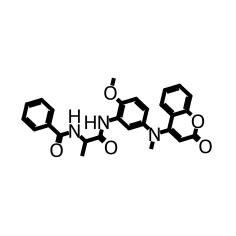 COc1ccc(N(C)c2cc(=O)oc3ccccc23)cc1NC(=O)C(C)NC(=O)c1ccccc1